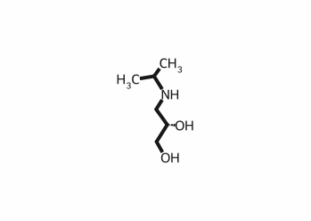 CC(C)NC[C@H](O)CO